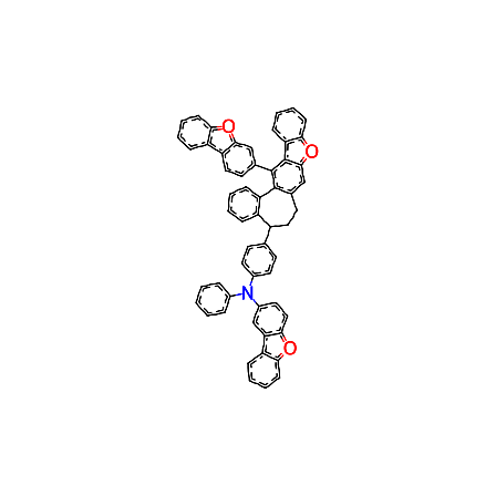 c1ccc(N(c2ccc(C3CCc4cc5oc6ccccc6c5c(-c5ccc6c(c5)oc5ccccc56)c4-c4ccccc43)cc2)c2ccc3oc4ccccc4c3c2)cc1